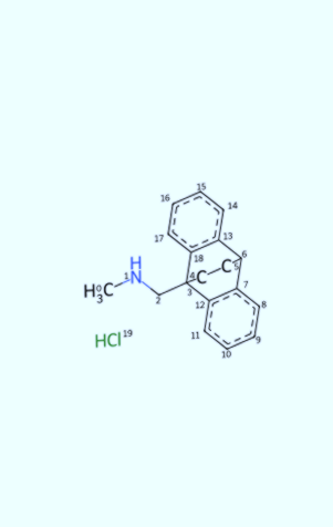 CNCC12CCC(c3ccccc31)c1ccccc12.Cl